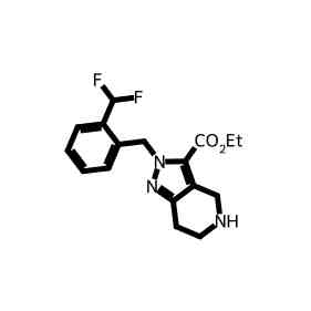 CCOC(=O)c1c2c(nn1Cc1ccccc1C(F)F)CCNC2